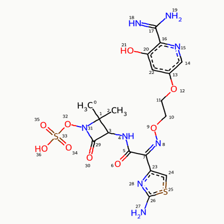 CC1(C)C(NC(=O)C(=NOCCOc2cnc(C(=N)N)c(O)c2)c2csc(N)n2)C(=O)N1OS(=O)(=O)O